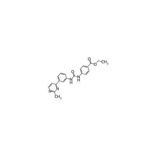 CCOC(=O)c1ccc(NC(=O)Nc2cccc(-c3ccnc(C)n3)c2)cc1